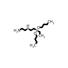 CCCCO[Si](CC)(CCNCCN)OCCCC